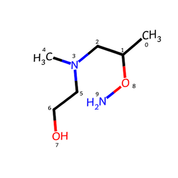 CC(CN(C)CCO)ON